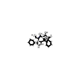 C=C/C(=C(\C)P1CNN[C@@H]1O)P1C(C(=O)c2ccccc2C=O)NN[C@@H]1c1ccccc1